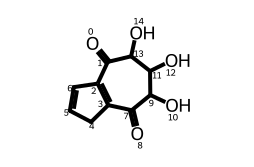 O=C1C2=C(CC=C2)C(=O)C(O)C(O)C1O